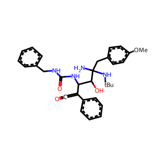 COc1ccc(CC(N)(NC(C)(C)C)C(O)C(NC(=O)NCc2ccccc2)C(=C=O)c2ccccc2)cc1